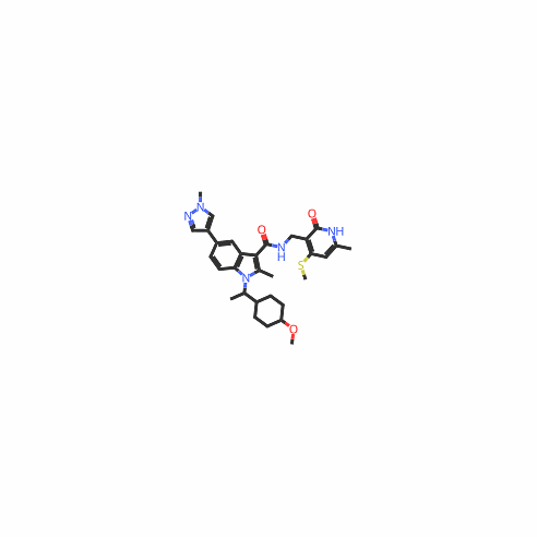 COC1CCC(C(C)n2c(C)c(C(=O)NCc3c(SC)cc(C)[nH]c3=O)c3cc(-c4cnn(C)c4)ccc32)CC1